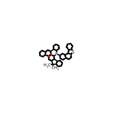 CC1(C)c2ccccc2-c2c(N(c3ccc4ccc5sc6ccccc6c5c4c3)c3ccccc3-c3ccc4ccccc4c3)cccc21